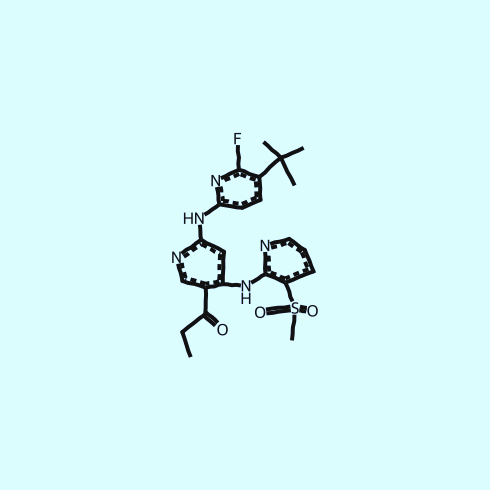 CCC(=O)c1cnc(Nc2ccc(C(C)(C)C)c(F)n2)cc1Nc1ncccc1S(C)(=O)=O